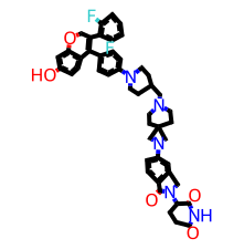 O=C1CCC(N2Cc3cc(N4CC5(CCN(CC6CCN(c7ccc(C8=C(c9c(F)cccc9F)COc9cc(O)ccc98)cc7)CC6)CC5)C4)ccc3C2=O)C(=O)N1